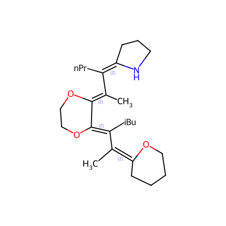 CCCC(=C1\CCCN1)/C(C)=C1\OCCO\C1=C(/C(C)=C1/CCCCO1)C(C)CC